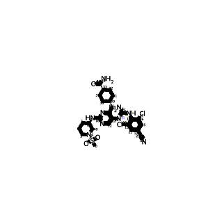 CS(=O)(=O)N1CCC[C@@H](Nc2ncc(/N=C(\N)Nc3c(Cl)cc(C#N)cc3Cl)c(C[C@H]3CC[C@@H](C(N)=O)CC3)n2)C1